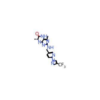 Cc1nc(NCc2ccc(-n3cc(C(F)(F)F)cn3)nc2)nc2c1NC(=O)[C@H](C)N2C